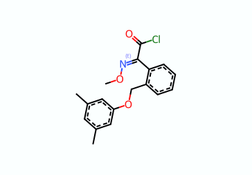 CO/N=C(/C(=O)Cl)c1ccccc1COc1cc(C)cc(C)c1